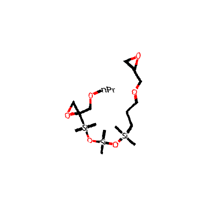 CCCOCC1([Si](C)(C)O[Si](C)(C)O[Si](C)(C)CCCOCC2CO2)CO1